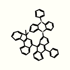 CC1(C)c2ccccc2-c2c1cc(-c1c3ccccc3c(-c3ccccc3)c3ccc(N4c5ccccc5N(c5ccccc5)c5ccccc54)cc13)c1ccccc21